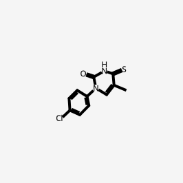 Cc1cn(-c2ccc(Cl)cc2)c(=O)[nH]c1=S